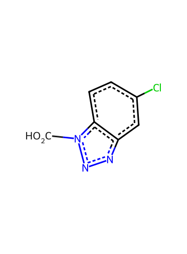 O=C(O)n1nnc2cc(Cl)ccc21